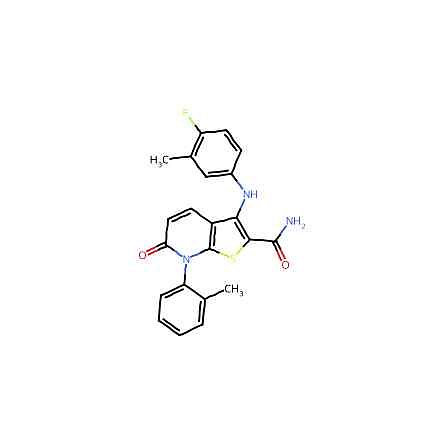 Cc1cc(Nc2c(C(N)=O)sc3c2ccc(=O)n3-c2ccccc2C)ccc1F